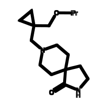 CC(C)OCC1(CN2CCC3(CCNC3=O)CC2)CC1